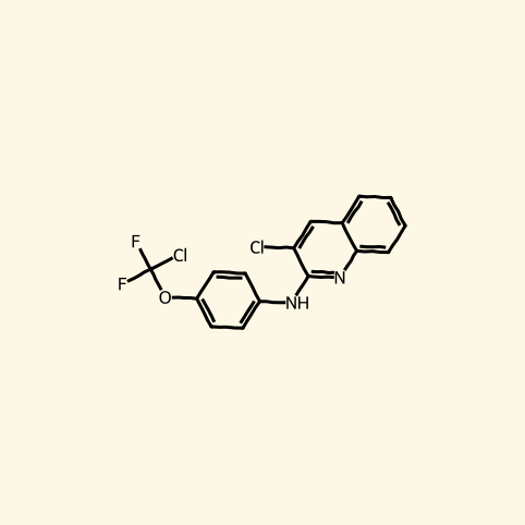 FC(F)(Cl)Oc1ccc(Nc2nc3ccccc3cc2Cl)cc1